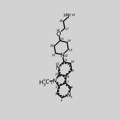 Cn1c2ccncc2c2ccc(N3CCC(OCC[18F])CC3)nc21